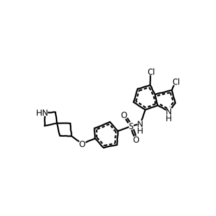 O=S(=O)(Nc1ccc(Cl)c2c(Cl)c[nH]c12)c1ccc(OC2CC3(CNC3)C2)cc1